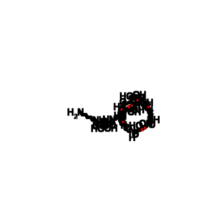 NCCCCCNC(=O)c1ccc(C(=O)NCCN2CCNC(=O)c3ccc(c(O)c3O)C(=O)NCCN3CCNC(=O)c4ccc(c(O)c4O)C(=O)NCCN(CCNC(=O)c4ccc(c(O)c4O)C(=O)NCC3)CC2)c(O)c1O